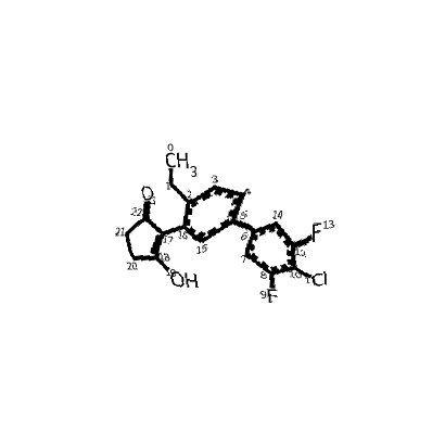 CCc1ccc(-c2cc(F)c(Cl)c(F)c2)cc1C1=C(O)CCC1=O